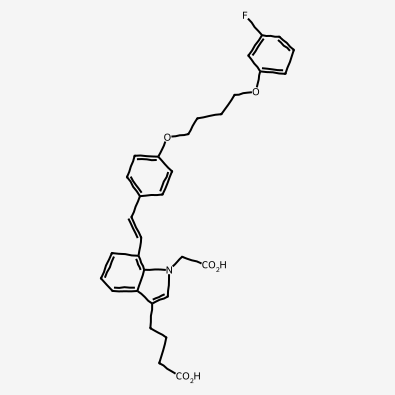 O=C(O)CCCc1cn(CC(=O)O)c2c(C=Cc3ccc(OCCCCOc4cccc(F)c4)cc3)cccc12